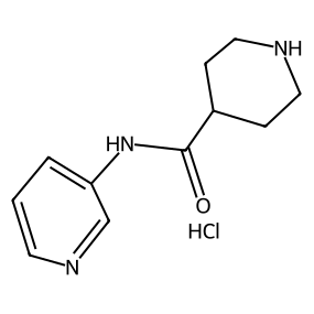 Cl.O=C(Nc1cccnc1)C1CCNCC1